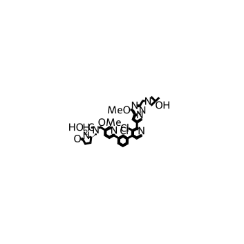 COc1nc(-c2cccc(-c3ccnc(-c4cc5c(OC)nc(CN6CC(C)(O)C6)nn5c4)c3Cl)c2Cl)ccc1CN(C[C@@H]1CCC(=O)N1)C(=O)O